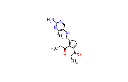 CCC(=O)C1=CCC(CNc2cnc(N)nc2C)=C1C(=O)CC